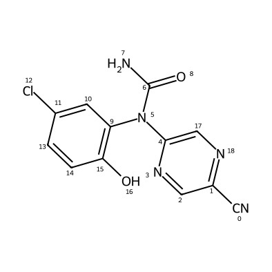 N#Cc1cnc(N(C(N)=O)c2cc(Cl)ccc2O)cn1